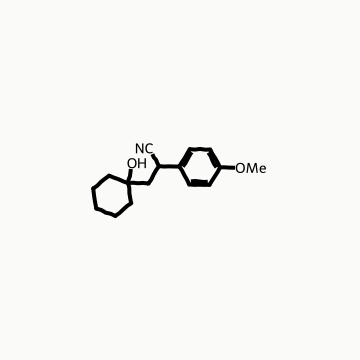 COc1ccc(C(C#N)CC2(O)CCCCC2)cc1